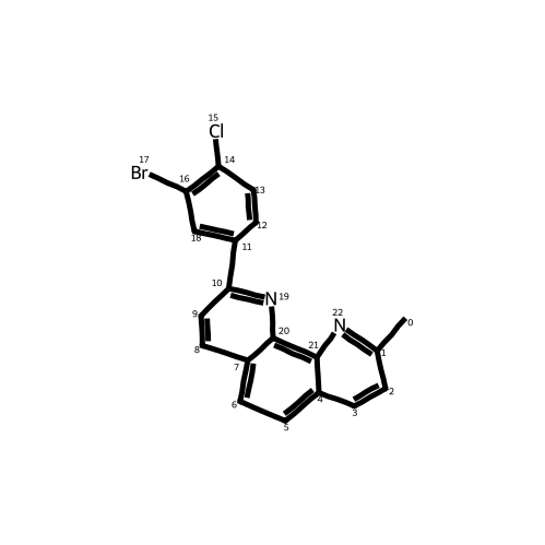 Cc1ccc2ccc3ccc(-c4ccc(Cl)c(Br)c4)nc3c2n1